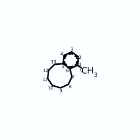 Cc1cccc2c1CCCCCCC2